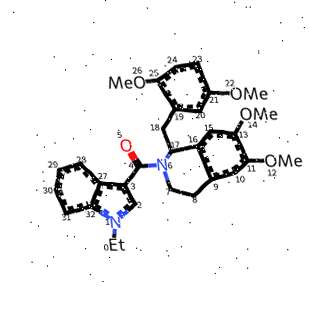 CCn1cc(C(=O)N2CCc3cc(OC)c(OC)cc3C2Cc2cc(OC)ccc2OC)c2ccccc21